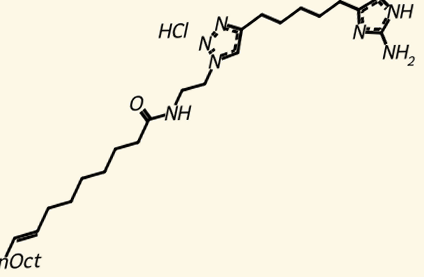 CCCCCCCCC=CCCCCCCC(=O)NCCn1cc(CCCCCc2c[nH]c(N)n2)nn1.Cl